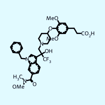 COc1cc(CCC(=O)O)cc(OC)c1OC1CCN(CC(O)(c2cn(Cc3ccccc3)c3cc(C(=O)N(C)OC)ccc23)C(F)(F)F)CC1